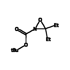 CCC1(CC)ON1C(=O)OC(C)(C)C